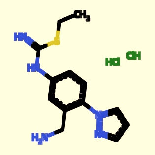 CCSC(=N)Nc1ccc(-n2cccn2)c(CN)c1.Cl.Cl